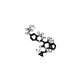 CS(=O)(=O)Nc1ccc2c(c1)S(=O)(=O)NC(C1=C(O)[C@@H]3[C@@H]4CC[C@@H](C4)[C@@H]3N(CC3(C(F)(F)F)CC3)C1=O)=N2